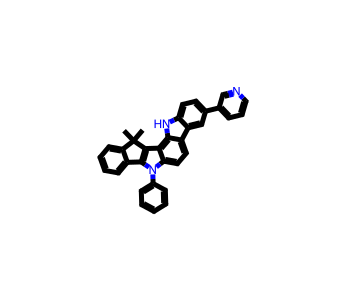 CC1(C)c2ccccc2-c2c1c1c3[nH]c4ccc(-c5cccnc5)cc4c3ccc1n2-c1ccccc1